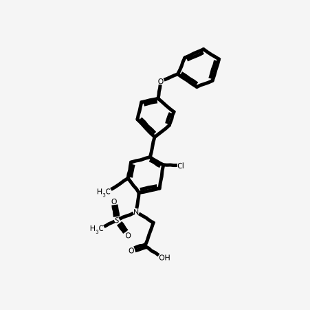 Cc1cc(-c2ccc(Oc3ccccc3)cc2)c(Cl)cc1N(CC(=O)O)S(C)(=O)=O